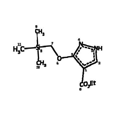 CCOC(=O)c1c[nH]nc1OC[Si](C)(C)C